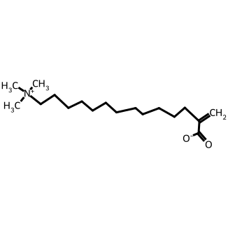 C=C(CCCCCCCCCCCC[N+](C)(C)C)C(=O)[O-]